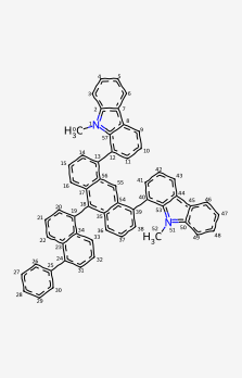 Cn1c2ccccc2c2cccc(-c3cccc4c(-c5cccc6c(-c7ccccc7)cccc56)c5cccc(-c6cccc7c8ccccc8n(C)c67)c5cc34)c21